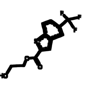 O=C(OCCO)c1cc2cc(C(F)(F)F)ccc2s1